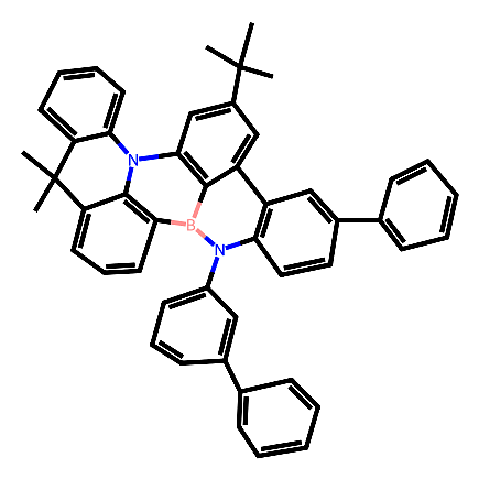 CC(C)(C)c1cc2c3c(c1)N1c4ccccc4C(C)(C)c4cccc(c41)B3N(c1cccc(-c3ccccc3)c1)c1ccc(-c3ccccc3)cc1-2